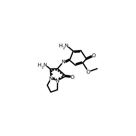 COC1=CC(=Nc2c(N)n3n(c2=O)CCC3)C(N)=CC1=O